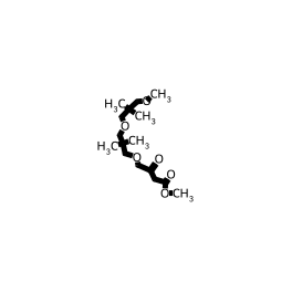 COCC(C)(C)COCC(C)(C)COCC(=O)CC(=O)OC